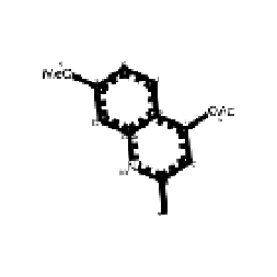 COc1ccc2c(OC(C)=O)cc(C)nc2c1